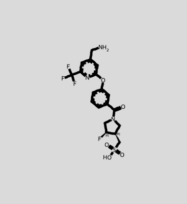 NCc1cc(Oc2cccc(C(=O)N3C[C@@H](CS(=O)(=O)O)[C@@H](F)C3)c2)nc(C(F)(F)F)c1